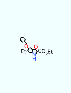 CCOC(=O)c1c[nH]c2cc(CC)c(OCc3ccccc3)cc2c1=O